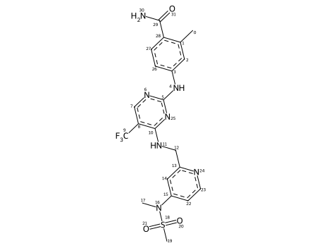 Cc1cc(Nc2ncc(C(F)(F)F)c(NCc3cc(N(C)S(C)(=O)=O)ccn3)n2)ccc1C(N)=O